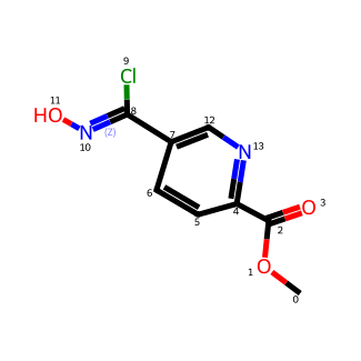 COC(=O)c1ccc(/C(Cl)=N/O)cn1